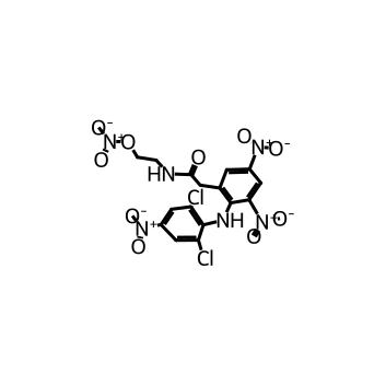 O=C(Cc1cc([N+](=O)[O-])cc([N+](=O)[O-])c1Nc1c(Cl)cc([N+](=O)[O-])cc1Cl)NCCO[N+](=O)[O-]